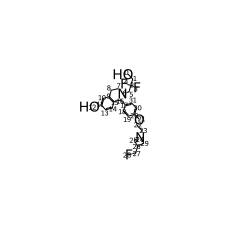 OCC(F)(F)CN1CCc2cc(O)ccc2C1c1ccc(OCCN2CC(CF)C2)cc1